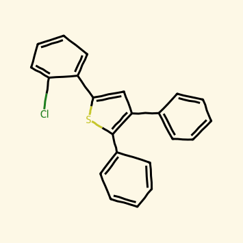 Clc1ccccc1-c1cc(-c2ccccc2)c(-c2ccccc2)s1